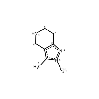 Cc1c2c(nn1C)CCNC2